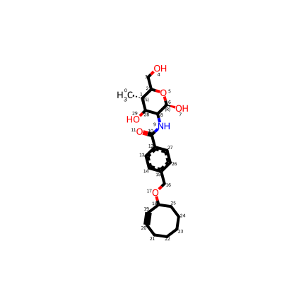 C[C@@H]1C(CO)O[C@@H](O)C(NC(=O)c2ccc(COC3C#CCCCCC3)cc2)C1O